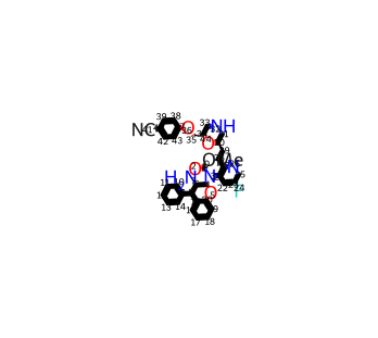 COC(=O)N(C(=O)[C@@H](N)C(c1ccccc1)c1ccccc1)c1cc(F)cnc1CC[C@@H]1CNC[C@@H](COc2ccc(C#N)cc2)O1